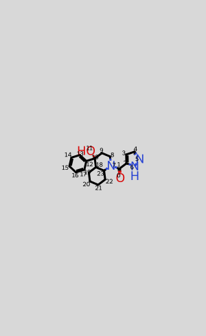 O=C(c1ccn[nH]1)N1CCC(O)(c2ccccc2)C2CCCCC21